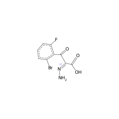 N/N=C(\C(=O)O)C(=O)c1c(F)cccc1Br